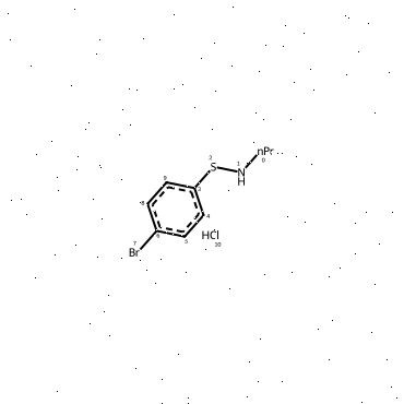 CCCNSc1ccc(Br)cc1.Cl